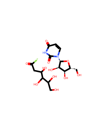 O=C(F)CC(O)C(O)C(O)CO.O=c1ccn([C@@H]2O[C@H](CO)[C@@H](O)[C@H]2O)c(=O)[nH]1